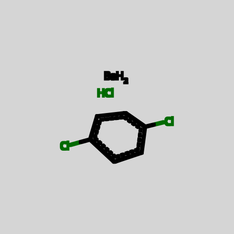 Cl.Clc1ccc(Cl)cc1.[BaH2]